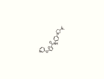 CN(C)C1CCN(c2ccc(NC(=O)c3ccc(Oc4cccnc4)o3)cc2)C1